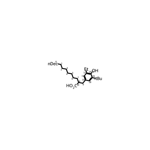 CCCCCCCCCCCCCCCCCC(Cc1cc(CC)c(O)c(C(C)(C)C)c1)C(=O)O